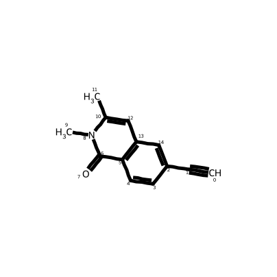 C#Cc1ccc2c(=O)n(C)c(C)cc2c1